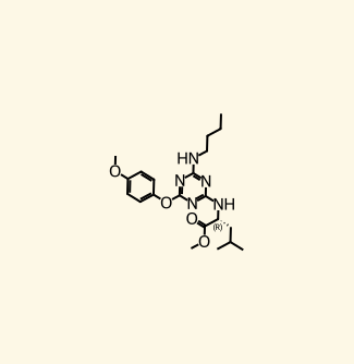 CCCCNc1nc(N[C@H](CC(C)C)C(=O)OC)nc(Oc2ccc(OC)cc2)n1